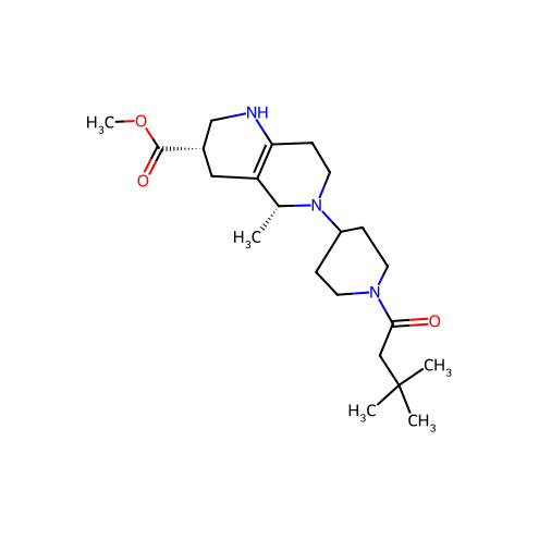 COC(=O)[C@@H]1CNC2=C(C1)[C@@H](C)N(C1CCN(C(=O)CC(C)(C)C)CC1)CC2